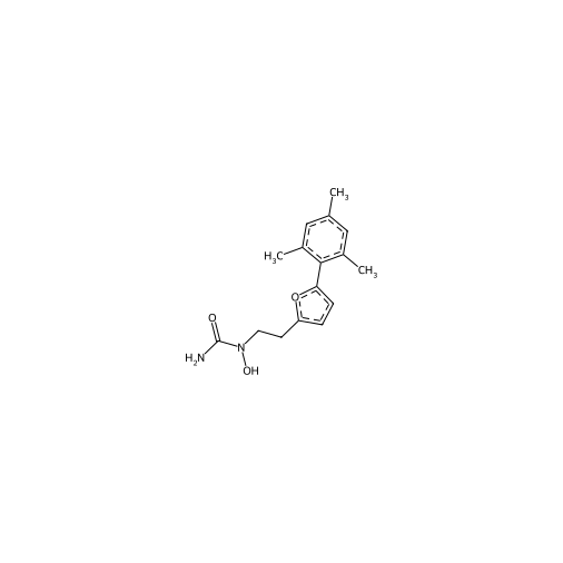 Cc1cc(C)c(-c2ccc(CCN(O)C(N)=O)o2)c(C)c1